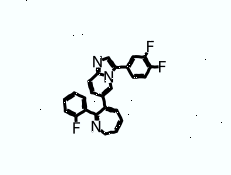 Fc1ccc(-c2cnc3ccc(C4=CC=CCN=C4c4ccccc4F)cn23)cc1F